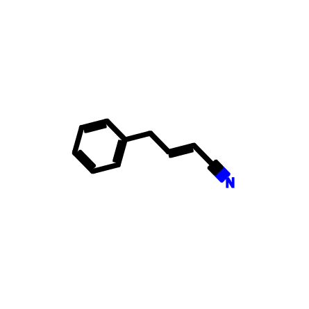 N#C/C=C/Cc1ccccc1